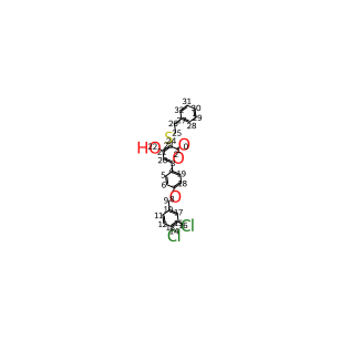 O=c1oc(-c2ccc(OCc3ccc(Cl)c(Cl)c3)cc2)cc(O)c1SCCc1ccccc1